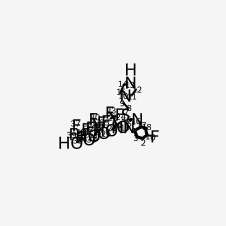 Fc1ccc2[nH]c(SCCN3CCNCC3)nc2c1.O=C(O)C(F)(F)F.O=C(O)C(F)(F)F.O=C(O)C(F)(F)F